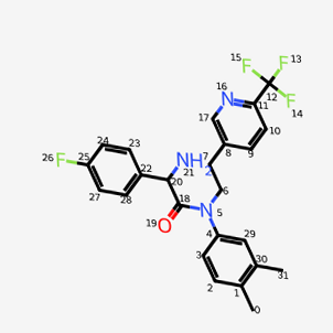 Cc1ccc(N(CCc2ccc(C(F)(F)F)nc2)C(=O)C(N)c2ccc(F)cc2)cc1C